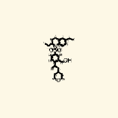 CCc1ccc2c(c1)CCC(CC)N2S(=O)(=O)c1ccc(C(C)CC2CCOCC2)c(CO)c1